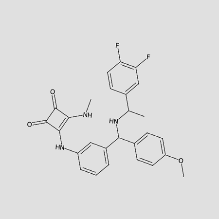 CNc1c(Nc2cccc(C(NC(C)c3ccc(F)c(F)c3)c3ccc(OC)cc3)c2)c(=O)c1=O